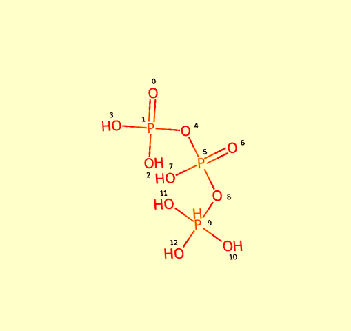 O=P(O)(O)OP(=O)(O)O[PH](O)(O)O